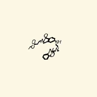 CCOC(=O)CCN1Cc2cc(NCCN(C)c3nc4ccccc4o3)ccc2C1=O